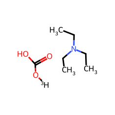 CCN(CC)CC.[3H]OC(=O)O